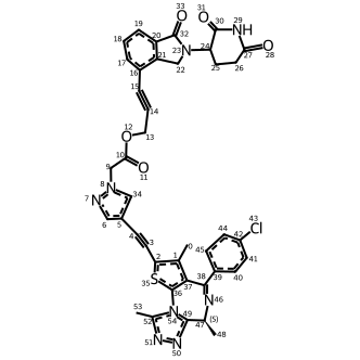 Cc1c(C#Cc2cnn(CC(=O)OCC#Cc3cccc4c3CN(C3CCC(=O)NC3=O)C4=O)c2)sc2c1C(c1ccc(Cl)cc1)=N[C@@H](C)c1nnc(C)n1-2